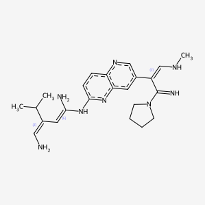 CN/C=C(\C(=N)N1CCCC1)c1cnc2ccc(N/C(N)=C/C(=C\N)C(C)C)nc2c1